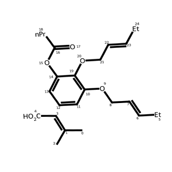 CC(C)=CC(=O)O.CCC=CCOc1cccc(OC(=O)CCC)c1OCC=CCC